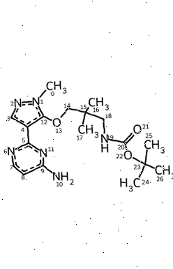 Cn1ncc(-c2nccc(N)n2)c1OCC(C)(C)CNC(=O)OC(C)(C)C